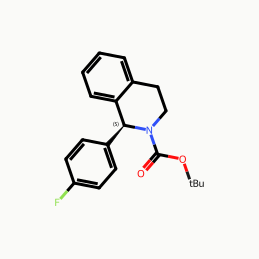 CC(C)(C)OC(=O)N1CCc2ccccc2[C@@H]1c1ccc(F)cc1